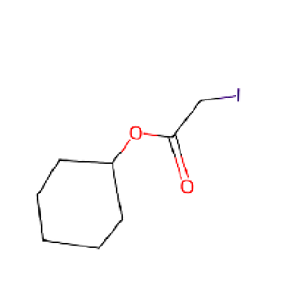 O=C(CI)OC1CCCCC1